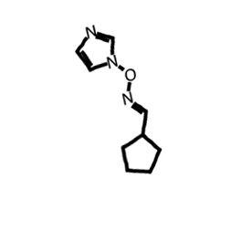 C(=NOn1ccnc1)C1CCCC1